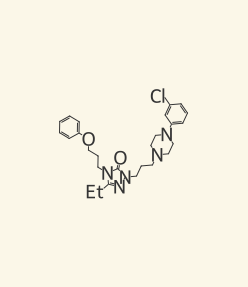 CCc1nn(CCCN2CCN(c3cccc(Cl)c3)CC2)c(=O)n1CCCOc1ccccc1